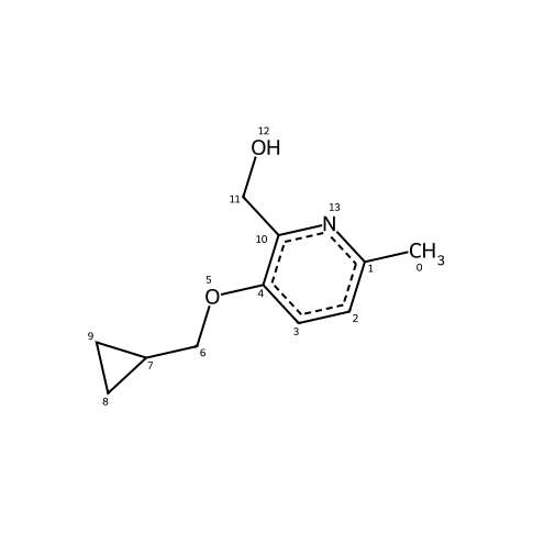 Cc1ccc(OCC2CC2)c(CO)n1